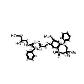 CCCCC1(CC)CN(c2ccccc2)c2cc(SC)c(OCC(=O)N[C@@H](C(=O)NCC(O)CO)c3ccccc3)cc2S(=O)(=O)C1